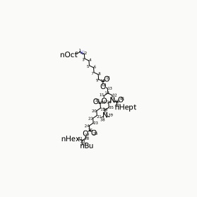 CCCCCCCC/C=C\CCCCCCCC(=O)OCC(COC(=O)CCCCCCC(=O)OCC(CCCC)CCCCCC)CN(CCCN(C)C)C(=O)CCCCCCC